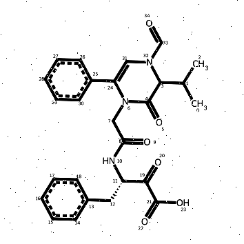 CC(C)C1C(=O)N(CC(=O)N[C@@H](Cc2ccccc2)C(=O)C(=O)O)C(c2ccccc2)=CN1C=O